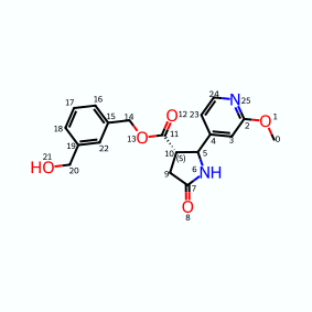 COc1cc(C2NC(=O)C[C@@H]2C(=O)OCc2cccc(CO)c2)ccn1